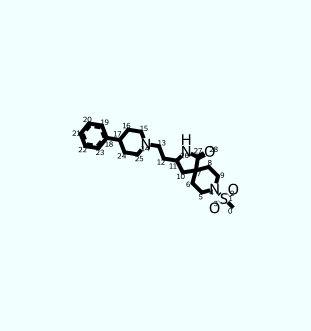 CS(=O)(=O)N1CCC2(CC1)CC(CCN1CCC(c3ccccc3)CC1)NC2=O